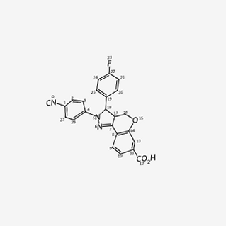 [C-]#[N+]c1ccc(N2N=C3c4ccc(C(=O)O)cc4OCC3C2c2ccc(F)cc2)cc1